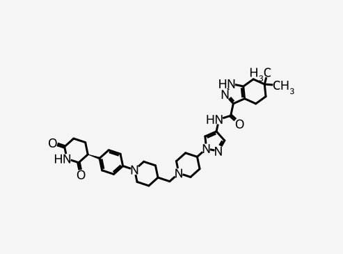 CC1(C)CCc2c(C(=O)Nc3cnn(C4CCN(CC5CCN(c6ccc([C@@H]7CCC(=O)NC7=O)cc6)CC5)CC4)c3)n[nH]c2C1